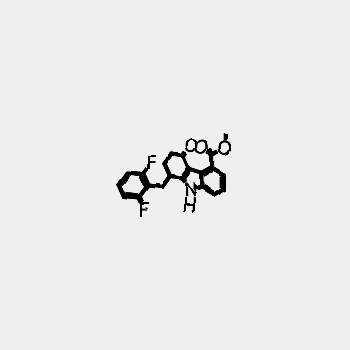 COC(=O)c1cccc2[nH]c3c(c12)C(=O)CCC3Cc1c(F)cccc1F